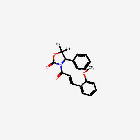 [2H]C1([2H])OC(=O)N(C(=O)C=Cc2ccccc2OC(F)(F)F)C1c1ccccc1